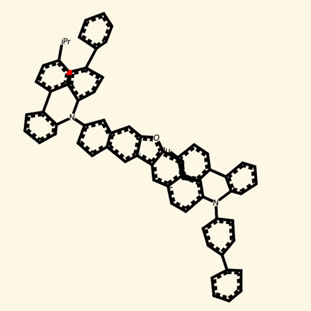 CC(C)c1ccc(-c2ccccc2N(c2ccc(-c3ccccc3)cc2)c2ccc3cc4c(cc3c2)oc2cc3cc(N(c5ccc(-c6ccccc6)cc5)c5ccccc5-c5ccc(C(C)(C)C)cc5)ccc3cc24)cc1